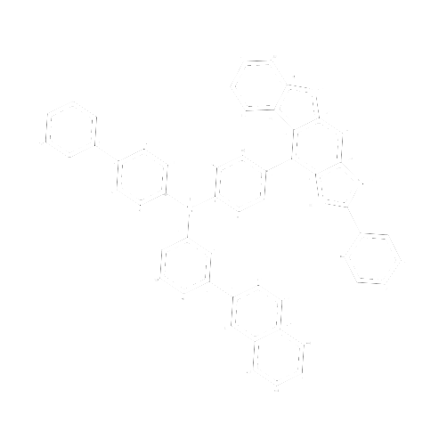 c1ccc(-c2ccc(N(c3ccc(-c4c5oc(-c6ccccc6)nc5cc5oc6ccccc6c45)cc3)c3cccc(-c4ccc5ccccc5c4)c3)cc2)cc1